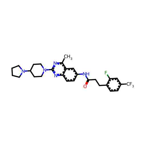 Cc1nc(N2CCC(N3CCCC3)CC2)nc2ccc(NC(=O)CCc3ccc(C(F)(F)F)cc3F)cc12